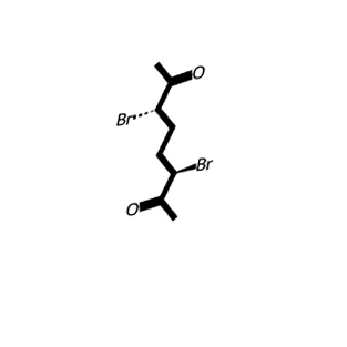 CC(=O)[C@H](Br)CC[C@H](Br)C(C)=O